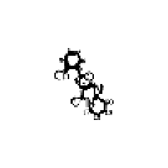 O=c1c2nc(-c3ccccc3Cl)oc2nc2n1CCCC2